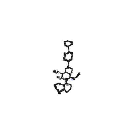 CC(C)C1CN(c2ccc(-c3ccccc3)nn2)CCN1/C(=N\C#N)N[C@H]1CCCc2ncccc21